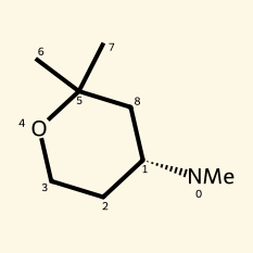 CN[C@@H]1CCOC(C)(C)C1